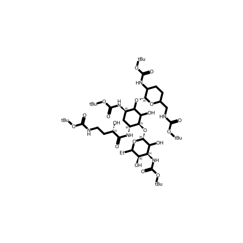 CCC1O[C@H](O[C@@H]2C(O)C(O[C@H]3OC(CNC(=O)OC(C)(C)C)CCC3NC(=O)OC(C)(C)C)[C@H](NC(=O)OC(C)(C)C)C[C@H]2NC(=O)[C@@H](O)CCNC(=O)OC(C)(C)C)C(O)[C@@H](NC(=O)OC(C)(C)C)[C@H]1O